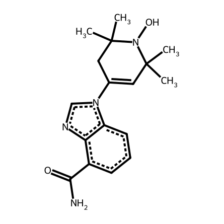 CC1(C)C=C(n2cnc3c(C(N)=O)cccc32)CC(C)(C)N1O